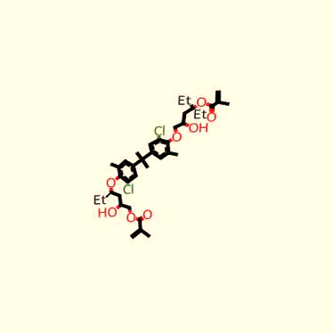 C=C(C)C(=O)OCC(O)C[C@@H](CC)Oc1c(C)cc(C(C)(C)c2cc(C)c(OCC(O)CC(CC)(CC)OC(=O)C(=C)C)c(Cl)c2)cc1Cl